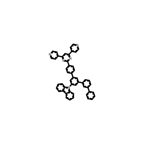 c1ccc(-c2cccc(-c3cc(-c4ccc(-c5nc(-c6ccncc6)cc(-c6ccncc6)n5)cc4)cc(-n4c5ccccc5c5ccccc54)c3)c2)cc1